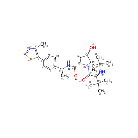 Cc1ncsc1-c1ccc([C@H](C)NC(=O)[C@@H]2C[C@@H](O)CN2C(=O)[C@@H](NC(C)(C)C)C(C)(C)C)cc1